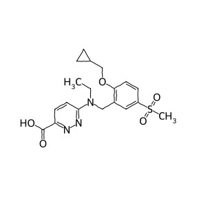 CCN(Cc1cc(S(C)(=O)=O)ccc1OCC1CC1)c1ccc(C(=O)O)nn1